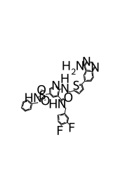 Nc1ncnc2ccc(-c3ccc(CNc4ncc(S(=O)(=O)NCc5ccccc5)cc4C(=O)NCc4ccc(F)c(F)c4)s3)cc12